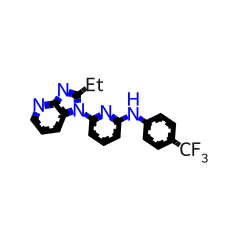 CCc1nc2ncccc2n1-c1cccc(Nc2ccc(C(F)(F)F)cc2)n1